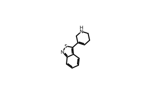 C1=C(c2snc3ccccc23)CNCC1